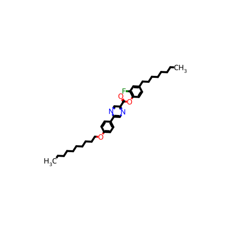 CCCCCCCCCCOc1ccc(-c2cnc(C(=O)Oc3ccc(CCCCCCCC)cc3F)cn2)cc1